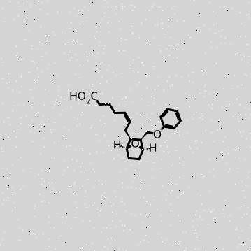 O=C(O)CCC/C=C\C[C@H]1[C@@H](COc2ccccc2)[C@H]2CC[C@@H]1O2